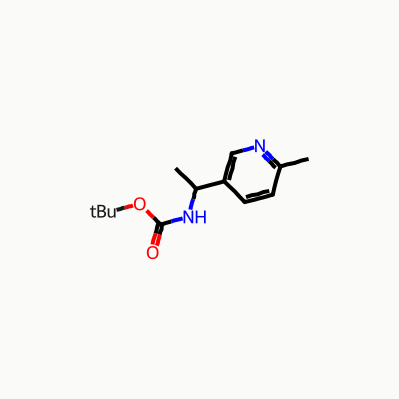 Cc1ccc(C(C)NC(=O)OC(C)(C)C)cn1